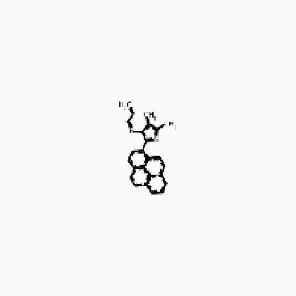 C=C/C=N\c1c(-c2ccc3ccc4cccc5ccc2c3c45)sc(C)c1C